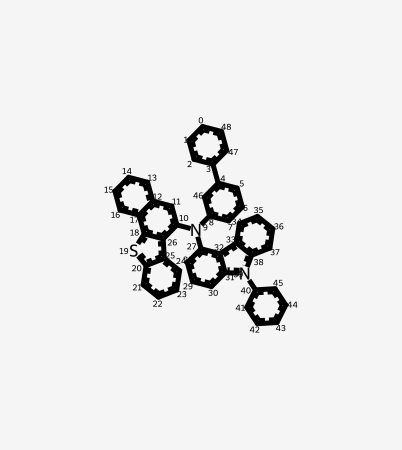 c1ccc(-c2cccc(N(c3cc4ccccc4c4sc5ccccc5c34)c3cccc4c3c3ccccc3n4-c3ccccc3)c2)cc1